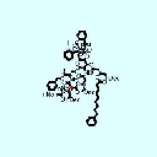 CCCCCCCCCCC[C@H](CC(=O)NC1C(OC[C@@H](NC(=O)C[C@@H](CCCCCCCCCCC)OC(=O)CCCCCCCCC)C(=O)OCc2ccccc2)OC(CO[Si](C)(C)C(C)(C)C)C(OP(=O)(OCc2ccccc2)OCc2ccccc2)C1OC(=O)C[C@@H](CCCCCCCCCCC)OC(=O)CCCCCCCCc1ccccc1)OC(=O)CCCCCCCCC